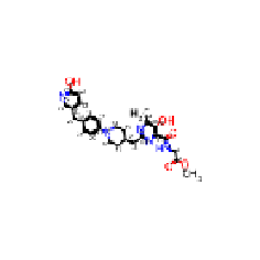 COC(=O)CNC(=O)c1nc(CC2CCN(c3ccc(Cc4ccc(O)nc4)cc3)CC2)nc(C)c1O